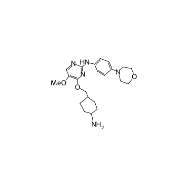 COc1cnc(Nc2ccc(N3CCOCC3)cc2)nc1OCC1CCC(N)CC1